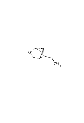 CCC1=CC2CC1CO2